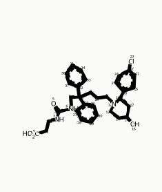 O=C(O)CCNC(=O)NCC(CCCN1CCC(O)CC1c1ccc(Cl)cc1)(c1ccccc1)c1ccccc1